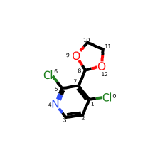 Clc1ccnc(Cl)c1C1OCCO1